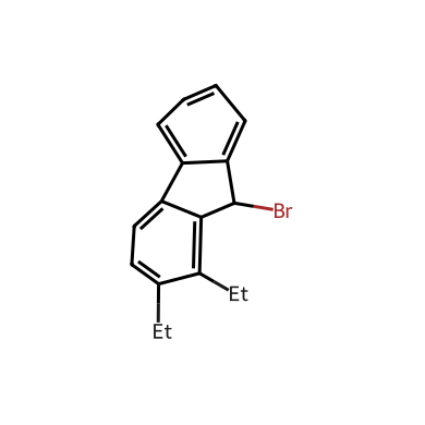 CCc1ccc2c(c1CC)C(Br)c1ccccc1-2